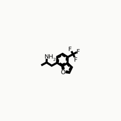 CC(N)Cc1ccc(C(F)(F)F)c2ccoc12